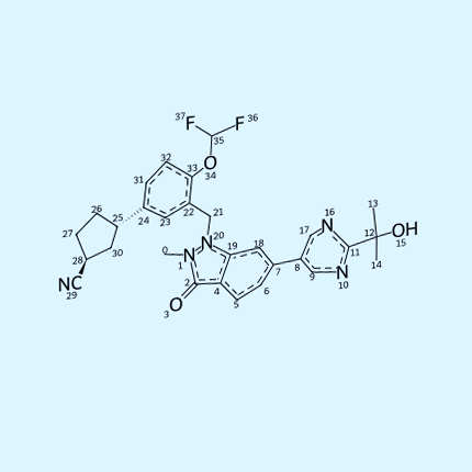 Cn1c(=O)c2ccc(-c3cnc(C(C)(C)O)nc3)cc2n1Cc1cc([C@H]2CC[C@H](C#N)C2)ccc1OC(F)F